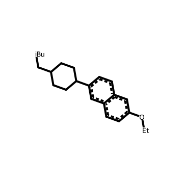 CCOc1ccc2cc(C3CCC(CC(C)CC)CC3)ccc2c1